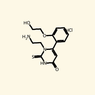 Cl.NCCn1c(-c2ccccc2OCCO)cc(=O)[nH]c1=S